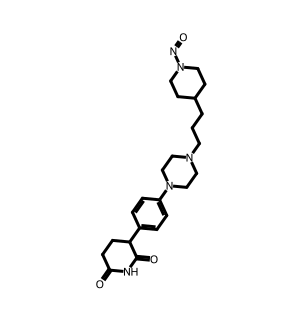 O=NN1CCC(CCCN2CCN(c3ccc(C4CCC(=O)NC4=O)cc3)CC2)CC1